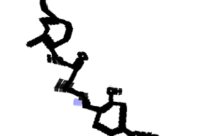 COc1ccc(/C=N/NC(=O)Nc2ccc(C)cc2C)c(O)c1